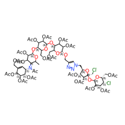 CC(=O)OCC1=C[C@H](N(C(C)=O)[C@@H]2C(C)O[C@H](O[C@@H]3C(COC(C)=O)O[C@H](O[C@@H]4C(COC(C)=O)O[C@@H](OCc5cn(C[C@H]6O[C@@](CCl)(O[C@H]7O[C@H](COC(C)=O)[C@H](Cl)[C@H](OC(C)=O)[C@H]7OC(C)=O)[C@@H](OC(C)=O)[C@@H]6OC(C)=O)nn5)C(OC(C)=O)C4OC(C)=O)C(OC(C)=O)C3OC(C)=O)C(OC(C)=O)C2OC(C)=O)[C@H](OC(C)=O)[C@@H](OC(C)=O)[C@@H]1OC(C)=O